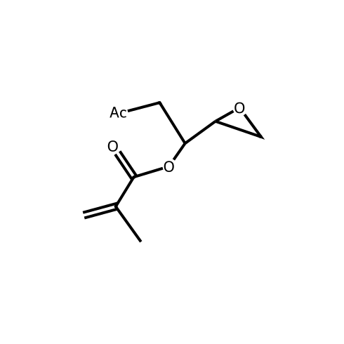 C=C(C)C(=O)OC(CC(C)=O)C1CO1